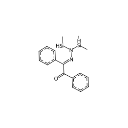 C[SiH](C)N(N=C(C(=O)c1ccccc1)c1ccccc1)[SiH](C)C